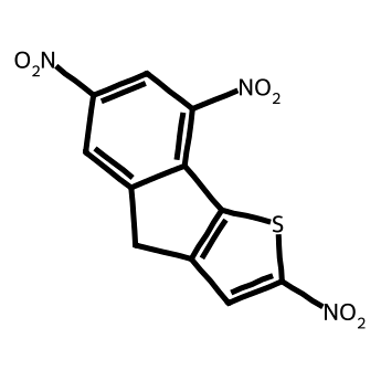 O=[N+]([O-])c1cc2c(c([N+](=O)[O-])c1)-c1sc([N+](=O)[O-])cc1C2